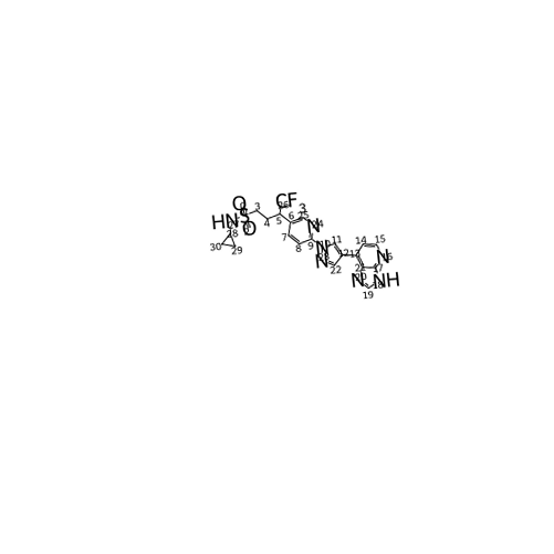 O=S(=O)(CCC(c1ccc(-n2cc(-c3ccnc4[nH]cnc34)cn2)nc1)C(F)(F)F)NC1CC1